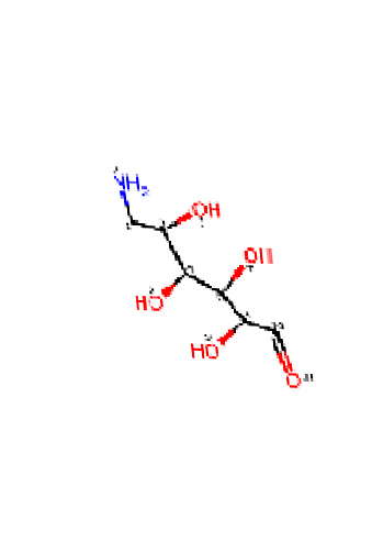 NC[C@@H](O)[C@H](O)[C@@H](O)[C@H](O)C=O